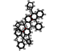 c1ccc2c(c1)Oc1ccccc1C21c2ccccc2-c2cc(N(c3ccccc3-c3ccc(C4CC5CCC4C5)c4ccccc34)c3ccccc3C34CCC[C@@H]5CC(C3)C54)ccc21